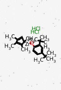 CC1=C[C](C)([Zr][O]c2ccc(C(C)(C)C)cc2C(C)(C)C)C(C)=C1C.Cl.Cl